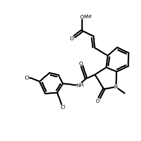 COC(=O)/C=C/c1cccc2c1C(C(=O)Nc1ccc(Cl)cc1Cl)C(=O)N2C